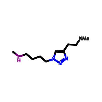 CNCCc1cn(CCCCPC)nn1